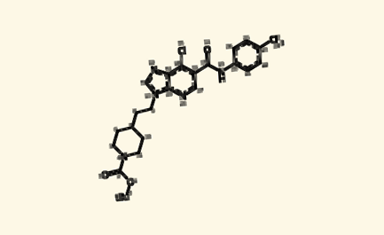 CC(C)(C)OC(=O)N1CCC(CCn2cnc3c(Cl)c(C(=O)Nc4ccc(C(F)(F)F)cc4)cnc32)CC1